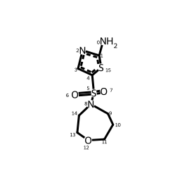 Nc1ncc(S(=O)(=O)N2CCCOCC2)s1